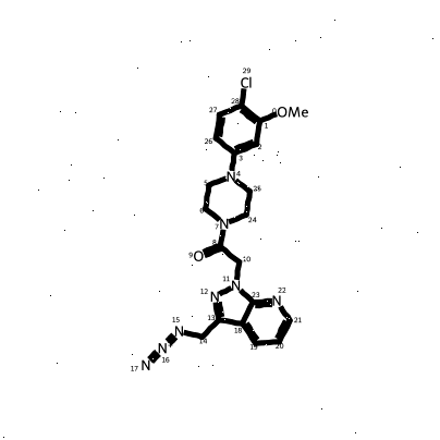 COc1cc(N2CCN(C(=O)Cn3nc(CN=[N+]=[N-])c4cccnc43)CC2)ccc1Cl